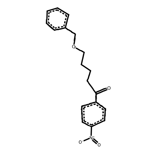 O=C(CCCCOCc1ccccc1)c1ccc([N+](=O)[O-])cc1